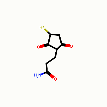 NC(=O)CCC1C(=O)CC(S)C1=O